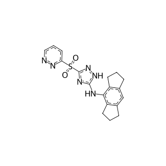 O=S(=O)(c1cccnn1)c1n[nH]c(Nc2c3c(cc4c2CCC4)CCC3)n1